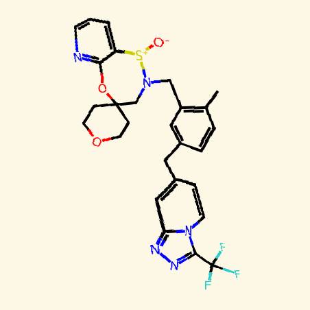 Cc1ccc(Cc2ccn3c(C(F)(F)F)nnc3c2)cc1CN1CC2(CCOCC2)Oc2ncccc2[S+]1[O-]